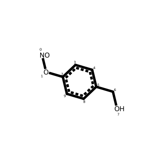 O=NOc1ccc(CO)cc1